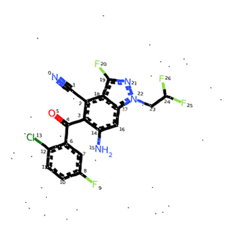 N#Cc1c(C(=O)c2cc(F)ccc2Cl)c(N)cc2c1c(F)nn2CC(F)F